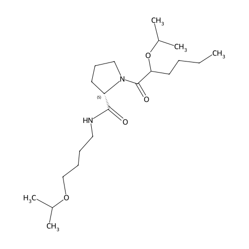 CCCCC(OC(C)C)C(=O)N1CCC[C@H]1C(=O)NCCCCOC(C)C